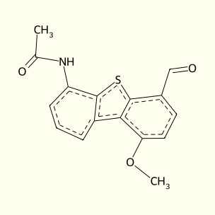 COc1ccc(C=O)c2sc3c(NC(C)=O)cccc3c12